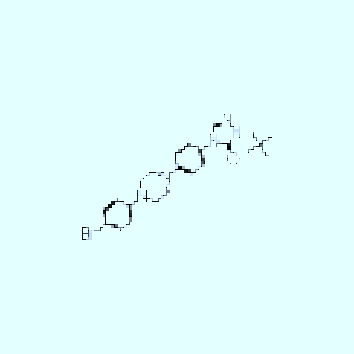 CC(C)(C)Cn1ncn(-c2ccc(N3CCN(c4ccc(Br)cc4)CC3)cc2)c1=O